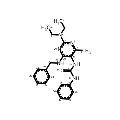 CCN(CC)c1nc(C)c(NC(=O)Nc2ccccc2)c(NCc2ccccc2)n1